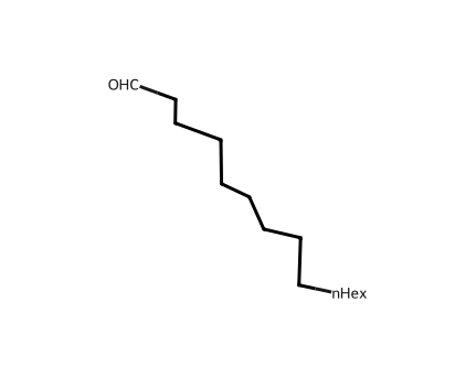 [CH2]CCCCCCCCCCCCCC=O